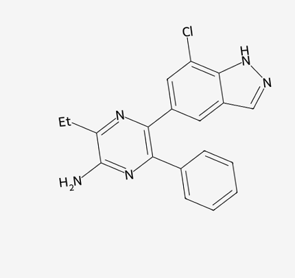 CCc1nc(-c2cc(Cl)c3[nH]ncc3c2)c(-c2ccccc2)nc1N